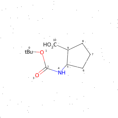 CC(C)(C)OC(=O)NC1CCCC1C(=O)O